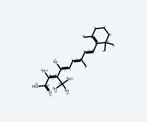 [2H]C(=C\C=C(C)\C=C\C1=C(C)CCCC1(C)C)/C(=C(\[2H])C(=O)O)C([2H])([2H])[2H]